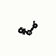 Fc1cccc(C#CC2CN(c3nc4ncccn4n3)CCO2)c1